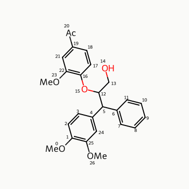 COc1ccc(C(c2ccccc2)C(CO)Oc2ccc(C(C)=O)cc2OC)cc1OC